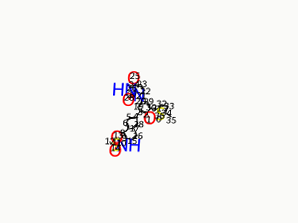 COc1c(-c2ccc3cc(NS(C)(=O)=O)ccc3c2)cc(-n2ccc(=O)[nH]c2=O)cc1-c1ccc(C)s1